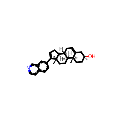 C[C@]12CC[C@H](O)CC1=CC[C@@H]1[C@@H]2CC[C@]2(C)C(c3ccc4ccncc4c3)=CC[C@@H]12